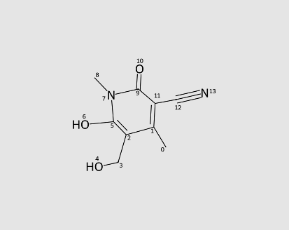 Cc1c(CO)c(O)n(C)c(=O)c1C#N